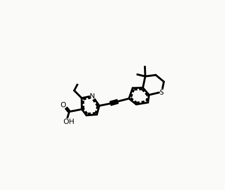 CCc1nc(C#Cc2ccc3c(c2)C(C)(C)CCS3)ccc1C(=O)O